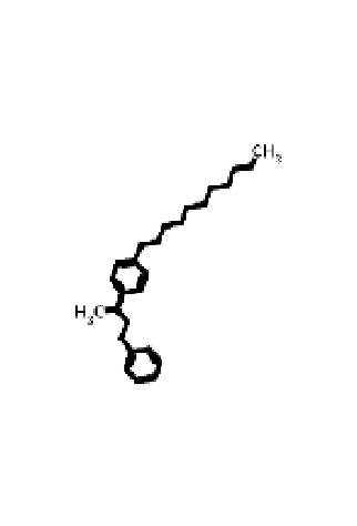 CCCCCCCCCCCc1ccc([C](C)CCc2ccccc2)cc1